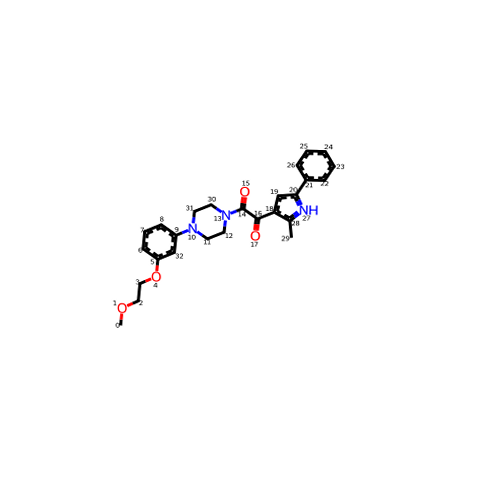 COCCOc1cccc(N2CCN(C(=O)C(=O)c3cc(-c4ccccc4)[nH]c3C)CC2)c1